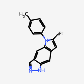 Cc1ccc(-n2c(C(C)C)cc3cc4[nH]ncc4cc32)cc1